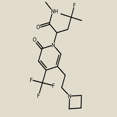 CNC(=O)C(CC(C)(C)F)n1cc(CCN2CCC2)c(C(F)(F)F)cc1=O